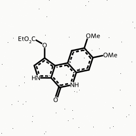 CCOC(=O)Oc1c[nH]c2c(=O)[nH]c3cc(OC)c(OC)cc3c12